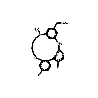 CSCc1cc2cc(c1)N(C)CCCCNc1cc(F)ccc1-c1nc(ncc1F)N2